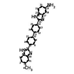 Cc1ccc2[nH]c(-c3ccc(-c4ccc(-c5nc6cc(N)ccc6[nH]5)cc4)cc3)nc2c1